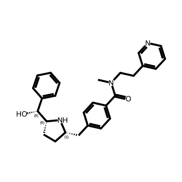 CN(CCc1cccnc1)C(=O)c1ccc(C[C@@H]2CC[C@H]([C@H](O)c3ccccc3)N2)cc1